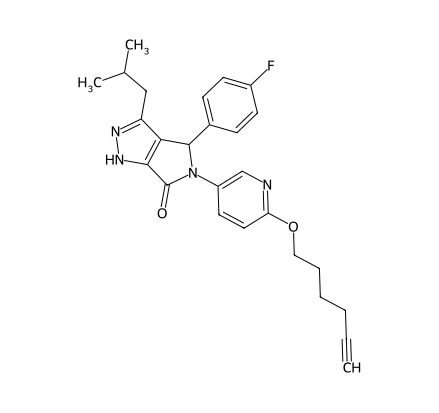 C#CCCCCOc1ccc(N2C(=O)c3[nH]nc(CC(C)C)c3C2c2ccc(F)cc2)cn1